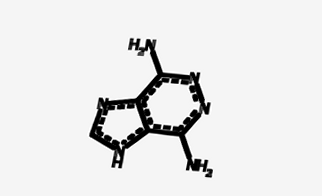 Nc1nnc(N)c2[nH]cnc12